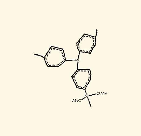 CO[Si](C)(OC)c1ccc(N(c2ccc(C)cc2)c2ccc(C)cc2)cc1